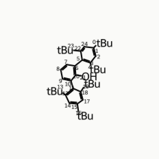 CC(C)(C)c1cc(C(C)(C)C)c(-c2cccc(-c3c(C(C)(C)C)cc(C(C)(C)C)cc3C(C)(C)C)c2O)c(C(C)(C)C)c1